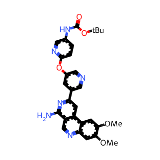 COc1cc2ncc3c(N)nc(-c4cncc(Oc5ccc(NC(=O)OC(C)(C)C)cn5)c4)cc3c2cc1OC